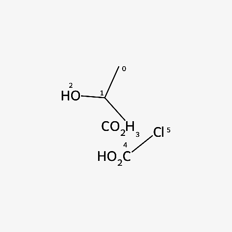 CC(O)C(=O)O.O=C(O)Cl